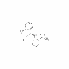 CN(C)C1CCCCC1NC(=O)c1ccccc1C(F)(F)F.Cl